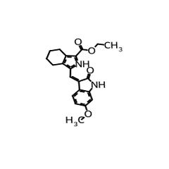 CCOC(=O)c1[nH]c(C=C2C(=O)Nc3cc(OC)ccc32)c2c1CCCC2